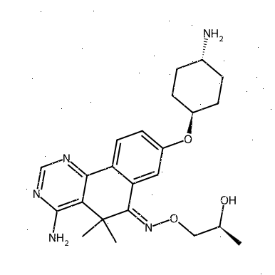 C[C@H](O)CO/N=C1\c2cc(O[C@H]3CC[C@H](N)CC3)ccc2-c2ncnc(N)c2C1(C)C